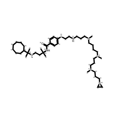 CN(CCCCN(C)CCCN(C)CCCN1CC1)CCCNCCSc1ccc(C(=O)NC(C)(C)CCOC(C)(C)C2CCCCCCC2)cc1